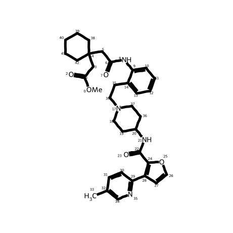 COC(=O)CC1(CC(=O)Nc2ccccc2CCN2CCC(NC(=O)c3occc3-c3ccc(C)cn3)CC2)CCCCC1